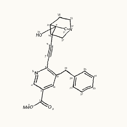 COC(=O)c1cnc(C#CC2(O)CN3CCC2CC3)c(Cc2ccccc2)c1